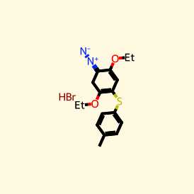 Br.CCOC1=CC(Sc2ccc(C)cc2)=C(OCC)CC1=[N+]=[N-]